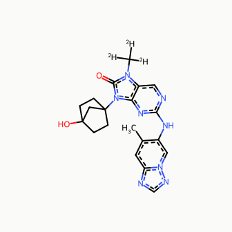 [2H]C([2H])([2H])n1c(=O)n(C23CCC(O)(CC2)C3)c2nc(Nc3cn4ncnc4cc3C)ncc21